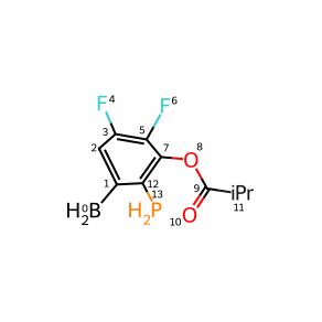 Bc1cc(F)c(F)c(OC(=O)C(C)C)c1P